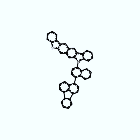 c1ccc2c(c1)-c1cccc3c(-c4ccc(-n5c6ccccc6c6cc7cc8c(cc7cc65)sc5ccccc58)c5ccccc45)ccc-2c13